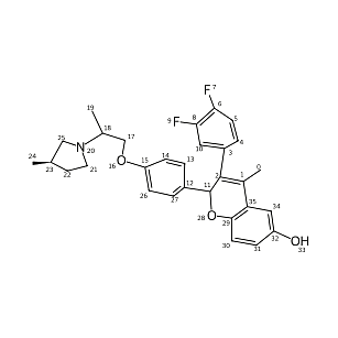 CC1=C(c2ccc(F)c(F)c2)C(c2ccc(OCC(C)N3CC[C@@H](C)C3)cc2)Oc2ccc(O)cc21